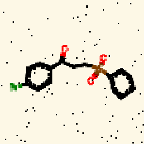 O=C(CCS(=O)(=O)c1ccccc1)c1ccc(Br)cc1